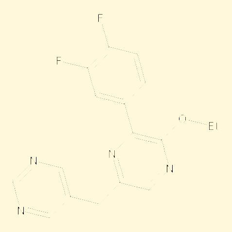 CCOc1ncc(Cc2cncnc2)nc1-c1ccc(F)c(F)c1